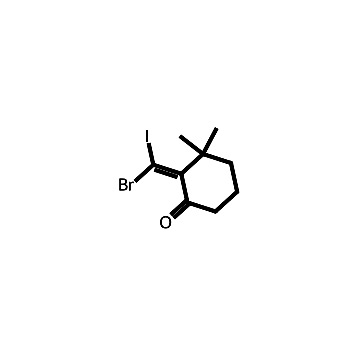 CC1(C)CCCC(=O)C1=C(Br)I